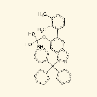 BC(O)(O)Oc1cc2c(cnn2C(c2ccccc2)(c2ccccc2)c2ccccc2)nc1-c1cccc(C)c1C